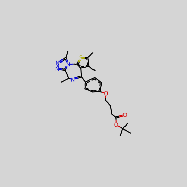 Cc1sc2c(c1C)C(c1ccc(OCCCC(=O)OC(C)(C)C)cc1)=NC(C)c1nnc(C)n1-2